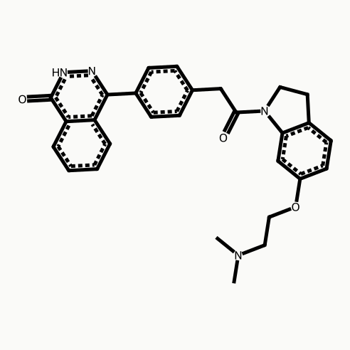 CN(C)CCOc1ccc2c(c1)N(C(=O)Cc1ccc(-c3n[nH]c(=O)c4ccccc34)cc1)CC2